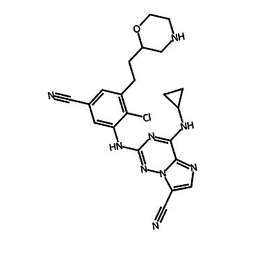 N#Cc1cc(CCC2CNCCO2)c(Cl)c(Nc2nc(NC3CC3)c3ncc(C#N)n3n2)c1